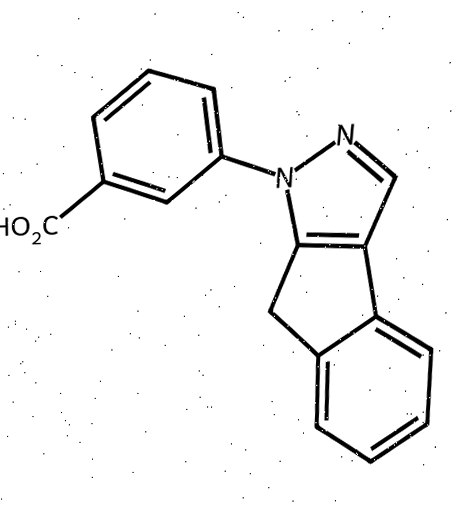 O=C(O)c1cccc(-n2ncc3c2Cc2ccccc2-3)c1